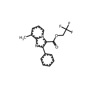 Cc1cccn2c(C(=O)OCC(F)(F)F)c(-c3ccccc3)nc12